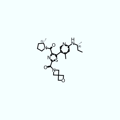 CC[C@@H](C)Nc1cc(C)c(-c2sc(C(=O)N3CC4(COC4)C3)nc2C(=O)N2CCC[C@@H]2C)cn1